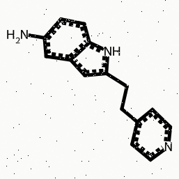 Nc1ccc2[nH]c(CCc3ccncc3)cc2c1